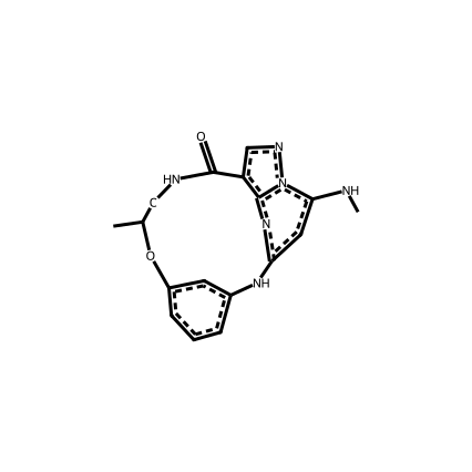 CNc1cc2nc3c(cnn13)C(=O)NCC(C)Oc1cccc(c1)N2